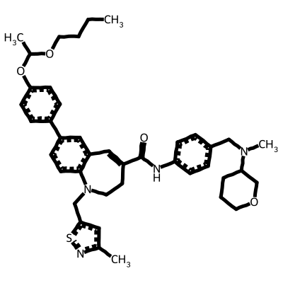 CCCCOC(C)Oc1ccc(-c2ccc3c(c2)C=C(C(=O)Nc2ccc(CN(C)C4CCCOC4)cc2)CCN3Cc2cc(C)ns2)cc1